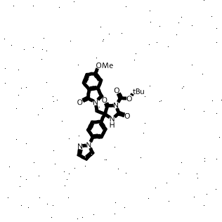 COc1ccc2c(c1)CN(CC1(c3ccc(-n4cccn4)cc3)NC(=O)N(C(=O)OC(C)(C)C)C1=O)C2=O